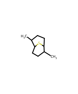 CC1CCC2SC1CCC2C